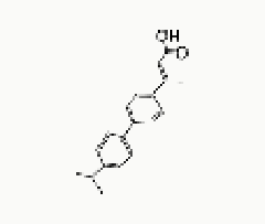 CC(=CC(=O)O)c1ccc(-c2ccc(C(C)C)cc2)cc1